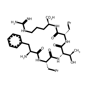 CC(C)C[C@H](NC(=O)[C@@H](NC(=O)[C@H](CC(C)C)NC(=O)[C@@H](N)Cc1ccccc1)[C@@H](C)O)C(=O)N[C@@H](CCCNC(=N)N)C(=O)O